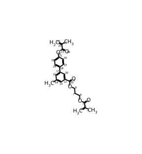 C=C(C)C(=O)OCCCOC(=O)c1cc(C)cc(-c2ccc(OC(=O)C(=C)C)cc2)c1